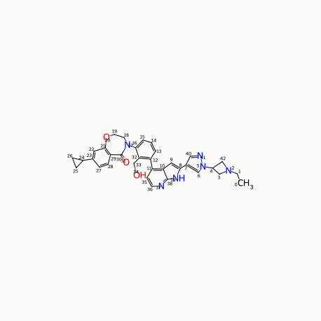 CCN1CC(n2cc(-c3cc4c(-c5cccc(N6CCOc7cc(C8CC8)ccc7C6=O)c5CO)ccnc4[nH]3)cn2)C1